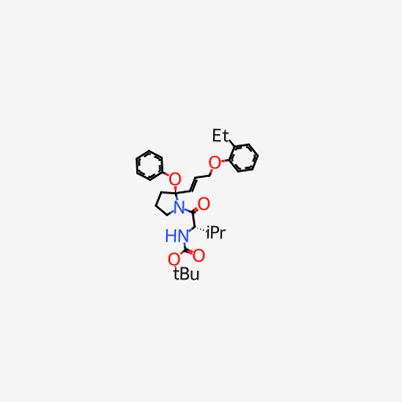 CCc1ccccc1OC/C=C/[C@@]1(Oc2ccccc2)CCCN1C(=O)[C@@H](NC(=O)OC(C)(C)C)C(C)C